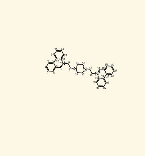 c1ccc2c(c1)c[n+](CCN1CCN(CC[n+]3cc4ccccc4c4ccccc43)CC1)c1ccccc21